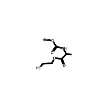 CC(NC(=O)OC(C)(C)C)C(=O)OCCS